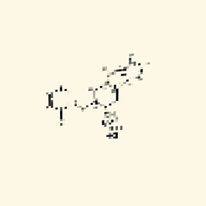 Cl.Cl.Clc1ccccc1CN1CCc2c(sc3nccn23)C1.O.O